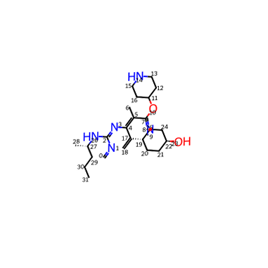 C=N\C(=N/C(=C(C)/C(=N\C)OC1CCNCC1)C(=C)[C@H]1CC[C@H](O)CC1)N[C@@H](C)CCC